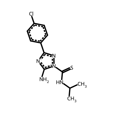 CC(C)NC(=S)n1nc(-c2ccc(Cl)cc2)nc1N